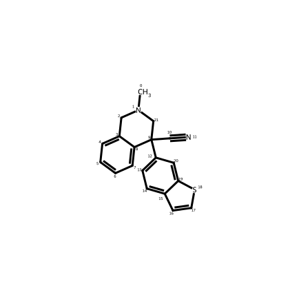 CN1Cc2ccccc2C(C#N)(c2ccc3ccsc3c2)C1